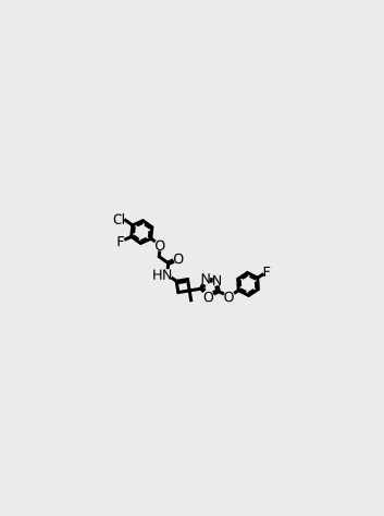 CC1(c2nnc(Oc3ccc(F)cc3)o2)C=C(NC(=O)COc2ccc(Cl)c(F)c2)C1